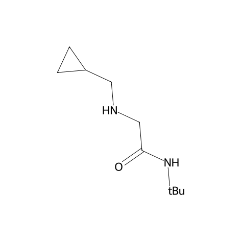 CC(C)(C)NC(=O)CNCC1CC1